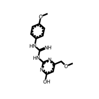 COCc1cc(O)nc(NC(=N)Nc2ccc(OC)cc2)n1